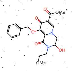 COCCN1C(=O)c2c(OCc3ccccc3)c(=O)c(C(=O)OC)cn2CC1O